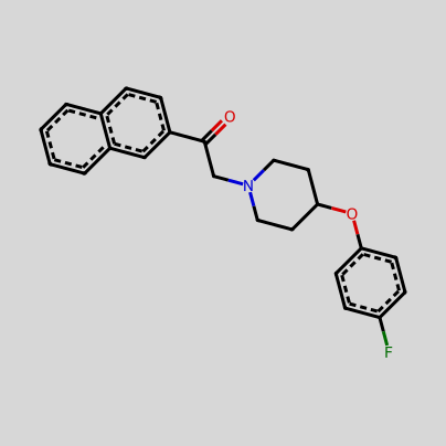 O=C(CN1CCC(Oc2ccc(F)cc2)CC1)c1ccc2ccccc2c1